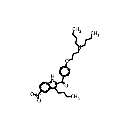 CCCCc1c(C(=O)c2ccc(OCCCN(CCCC)CCCC)cc2)[nH]c2ccc([N+](=O)[O-])cc12